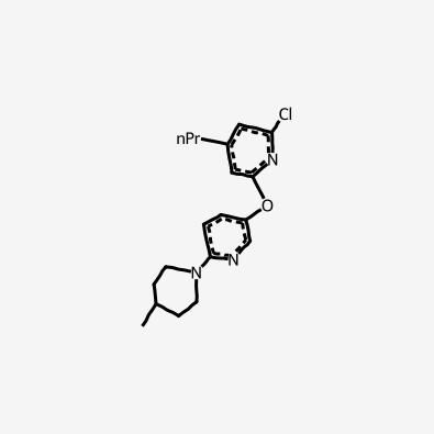 CCCc1cc(Cl)nc(Oc2ccc(N3CCC(C)CC3)nc2)c1